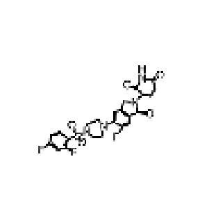 O=C1CCC(N2Cc3cc(N4CCN(S(=O)(=O)c5ccc(F)cc5F)CC4)c(F)cc3C2=O)C(=O)N1